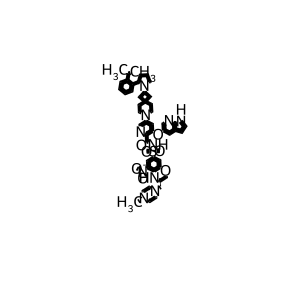 CC(C)c1ccccc1C1CCCN1C1CC2(CCN(c3cnc(C(=O)NS(=O)(=O)c4cc5c(c([N+](=O)[O-])c4)N[C@@H](CN4CCN(C)CC4)CO5)c(Oc4cnc5[nH]ccc5c4)c3)CC2)C1